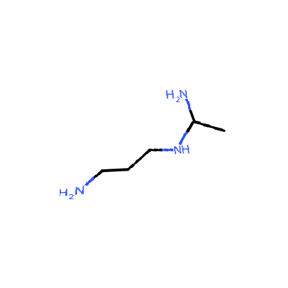 CC(N)NCCCN